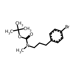 CN(CCCc1ccc(Br)cc1)C(=O)OC(C)(C)C